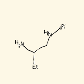 CCC(N)CNC(C)C